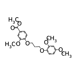 COC(=O)c1ccc(OCCCOc2ccc(OC)cc2OC)c(OC)c1